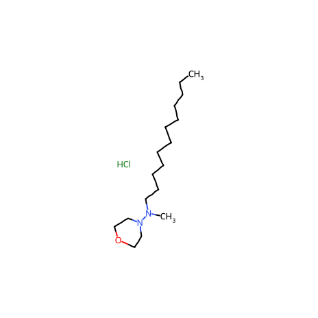 CCCCCCCCCCCCN(C)N1CCOCC1.Cl